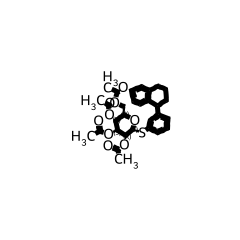 CC(=O)OC[C@H]1O[C@@H](Sc2cccc(C3CCCc4ccccc43)c2)[C@H](OC(C)=O)[C@@H](OC(C)=O)[C@@H]1OC(C)=O